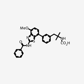 COc1ccc(-c2cccc(CC(C)(C)NC(=O)O)c2)c2sc(NC(=O)c3ccccc3)nc12